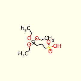 CCO[Si](CCCS(=O)(=O)O)(OCC)OCC